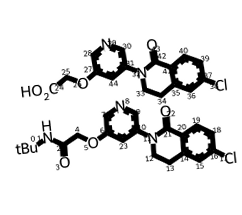 CC(C)(C)NC(=O)COc1cncc(N2CCc3cc(Cl)ccc3C2=O)c1.O=C(O)COc1cncc(N2CCc3cc(Cl)ccc3C2=O)c1